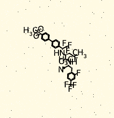 CC(C)(F)C[C@H](N[C@@H](c1ccc(-c2ccc(S(C)(=O)=O)cc2)cc1)C(F)(F)F)C(=O)NC(C#N)Cc1ccc(C(F)(F)F)cc1F